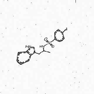 CC(Cc1c[nH]c2ccccc12)NS(=O)(=O)c1ccc(I)cc1